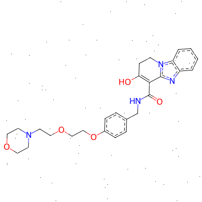 O=C(NCc1ccc(OCCOCCN2CCOCC2)cc1)C1=C(O)CCn2c1nc1ccccc12